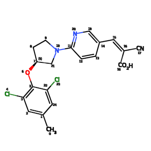 Cc1cc(Cl)c(O[C@H]2CCN(c3ccc(C=C(C#N)C(=O)O)cn3)C2)c(Cl)c1